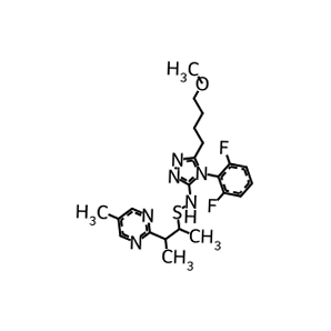 COCCCCc1nnc(NSC(C)C(C)c2ncc(C)cn2)n1-c1c(F)cccc1F